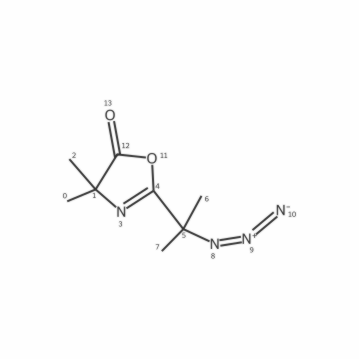 CC1(C)N=C(C(C)(C)N=[N+]=[N-])OC1=O